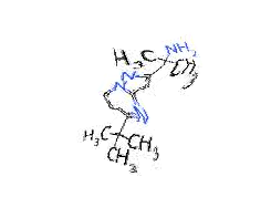 CC(C)(C)c1ccn2nc(C(C)(C)N)cc2n1